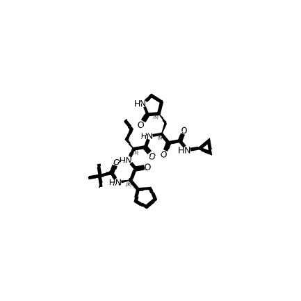 CCC[C@H](NC(=O)[C@H](NC(=O)C(C)(C)C)C1CCCC1)C(=O)N[C@@H](C[C@@H]1CCNC1=O)C(=O)C(=O)NC1CC1